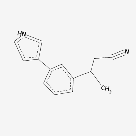 CC(CC#N)c1cccc(-c2cc[nH]c2)c1